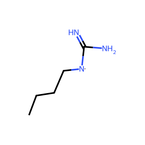 CCCC[N]C(=N)N